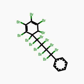 BrC1=C(Br)C(Br)C(Br)(C(Br)(Br)C(Br)(Br)C(Br)(Br)C(Br)(Br)c2ccccc2)C(Br)=C1Br